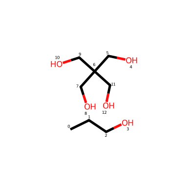 CCCO.OCC(CO)(CO)CO